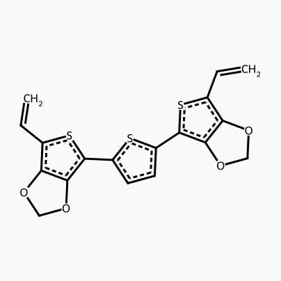 C=Cc1sc(-c2ccc(-c3sc(C=C)c4c3OCO4)s2)c2c1OCO2